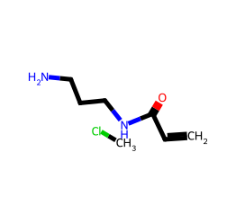 C=CC(=O)NCCCN.CCl